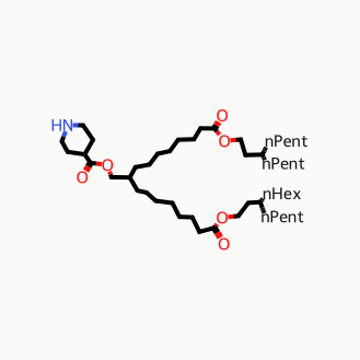 CCCCCCC(CCCCC)CCOC(=O)CCCCCCCC(CCCCCCCC(=O)OCCC(CCCCC)CCCCC)COC(=O)C1CCNCC1